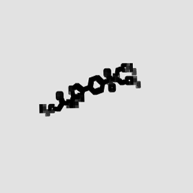 CCC(=O)Nc1nc(-c2ccc(S(=O)(=O)N(CC)CC)cc2)cs1